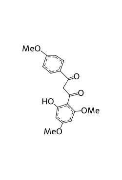 COc1ccc(C(=O)CC(=O)c2c(O)cc(OC)cc2OC)cc1